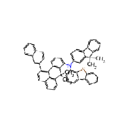 CC1(C)c2ccccc2-c2ccc(N(c3cccc4c3C(C)(C)c3cccc5ccc(-c6ccc7ccccc7c6)c-4c35)c3cccc4c3sc3ccccc34)cc21